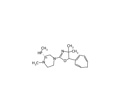 CP[C@@H]1CN(C2=NC(C)(C)C(C3=CC=CCC=C3)O2)CCN1C